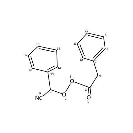 N#CC(OOC(=O)Cc1ccccc1)c1ccccc1